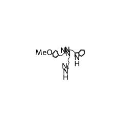 COc1ccc(Cc2nnc(Cc3c[nH]c4ccccc34)n2CCCc2c[nH]cn2)cc1